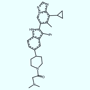 Cc1c(-c2[nH]c3ccc(C4CCN(C(=O)CN(C)C)CC4)cc3c2C(C)C)cn2ncnc2c1C1CC1